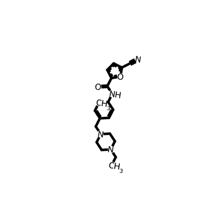 C/C=C(\C=C/CNC(=O)c1ccc(C#N)o1)CN1CCN(CC)CC1